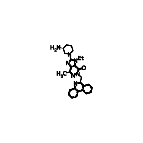 CCn1c(N2CCC[C@@H](N)C2)nc2c(C)nn(Cc3nc4ccccc4c4ccccc34)c(=O)c21